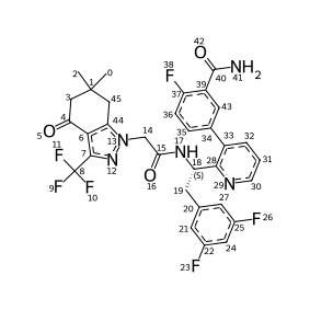 CC1(C)CC(=O)c2c(C(F)(F)F)nn(CC(=O)N[C@@H](Cc3cc(F)cc(F)c3)c3ncccc3-c3ccc(F)c(C(N)=O)c3)c2C1